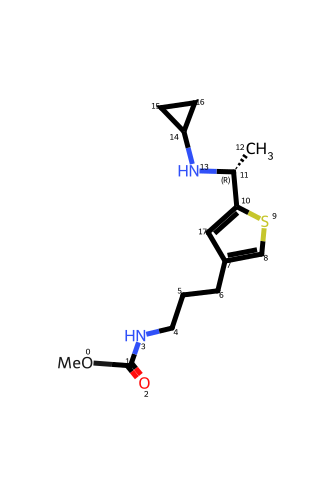 COC(=O)NCCCc1csc([C@@H](C)NC2CC2)c1